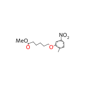 COC(=O)CCCCCOc1cc([N+](=O)[O-])ccc1C